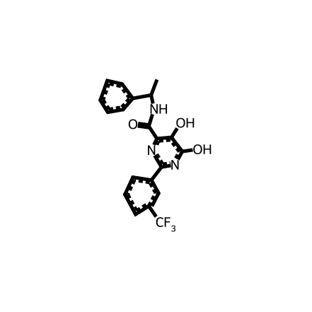 CC(NC(=O)c1nc(-c2cccc(C(F)(F)F)c2)nc(O)c1O)c1ccccc1